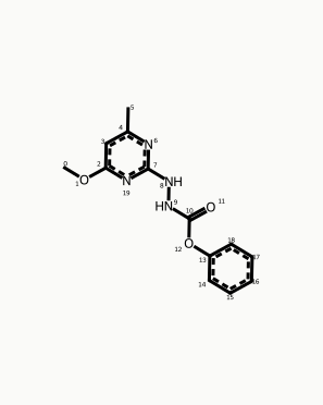 COc1cc(C)nc(NNC(=O)Oc2ccccc2)n1